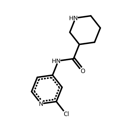 O=C(Nc1ccnc(Cl)c1)C1CCCNC1